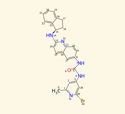 Cc1cc(NC(=O)Nc2ccc3nc(N[C@@H]4CCc5ccccc54)ccc3c2)cc(Br)n1